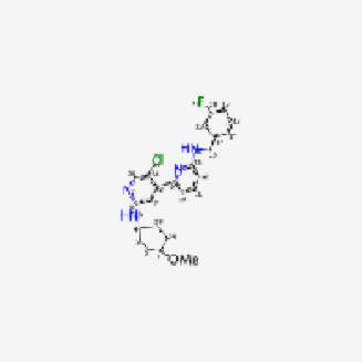 CO[C@H]1CC[C@H](Nc2cc(-c3cccc(NCc4cccc(F)c4)n3)c(Cl)cn2)CC1